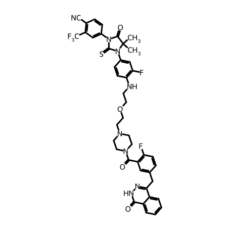 CC1(C)C(=O)N(c2ccc(C#N)c(C(F)(F)F)c2)C(=S)N1c1ccc(NCCOCCN2CCN(C(=O)c3cc(Cc4n[nH]c(=O)c5ccccc45)ccc3F)CC2)c(F)c1